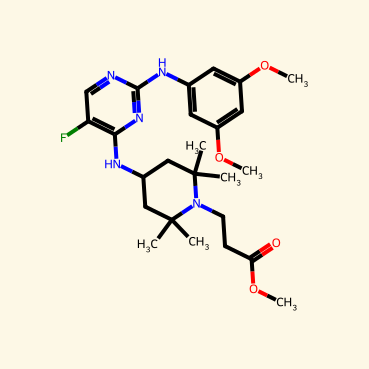 COC(=O)CCN1C(C)(C)CC(Nc2nc(Nc3cc(OC)cc(OC)c3)ncc2F)CC1(C)C